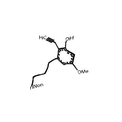 C#Cc1c(O)cc(OC)cc1CCCCCCCCCCCC